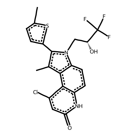 Cc1ccc(-c2c(C)c3c4c(Cl)cc(=O)[nH]c4ccc3n2C[C@@H](O)C(F)(F)F)s1